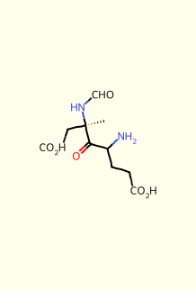 C[C@](CC(=O)O)(NC=O)C(=O)C(N)CCC(=O)O